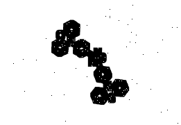 c1ccc2c(c1)Oc1ccccc1N2c1ccc(-c2noc(-c3ccc(N4c5ccccc5Sc5ccccc54)cc3)n2)cc1